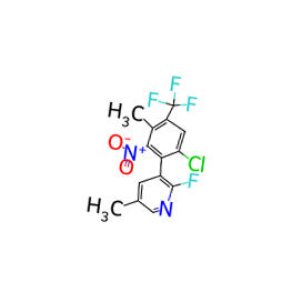 Cc1cnc(F)c(-c2c(Cl)cc(C(F)(F)F)c(C)c2[N+](=O)[O-])c1